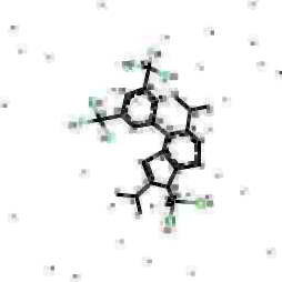 CC(C)C1=Cc2c(ccc(C(C)C)c2-c2cc(C(F)(F)F)cc(C(F)(F)F)c2)[CH]1[Zr]([Cl])[Cl]